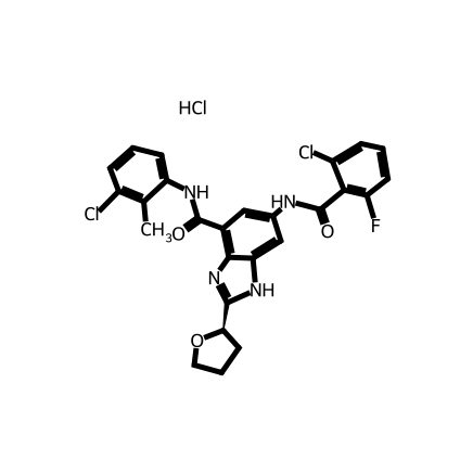 Cc1c(Cl)cccc1NC(=O)c1cc(NC(=O)c2c(F)cccc2Cl)cc2[nH]c([C@H]3CCCO3)nc12.Cl